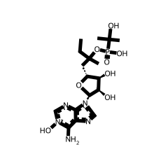 CCC(C)(C[C@H]1O[C@@H](n2cnc3c(N)[n+](O)cnc32)[C@H](O)[C@@H]1O)OP(=O)(O)C(C)(C)O